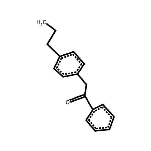 CCCc1ccc(CC(=O)c2ccccc2)cc1